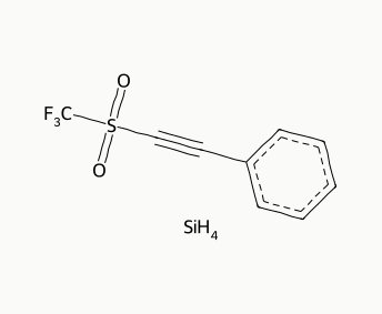 O=S(=O)(C#Cc1ccccc1)C(F)(F)F.[SiH4]